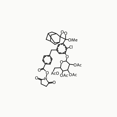 COC1(c2cc(Cc3ccc(C(=O)ON4C(=O)CCC4=O)cc3)cc(OC3OC(COC(C)=O)C(OC(C)=O)C(OC(C)=O)C3OC(C)=O)c2Cl)OOC12C1CC3CC(C1)CC2C3